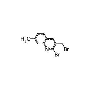 Cc1ccc2cc(CBr)c(Br)nc2c1